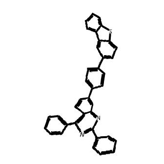 c1ccc(-c2nc(-c3ccccc3)c3ccc(-c4ccc(-c5ccc6sc7ccccc7c6c5)cc4)cc3n2)cc1